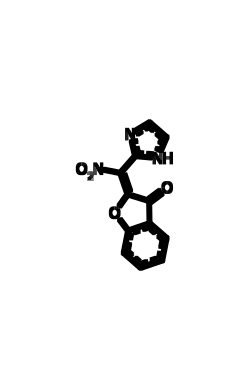 O=C1C(=C(c2ncc[nH]2)[N+](=O)[O-])Oc2ccccc21